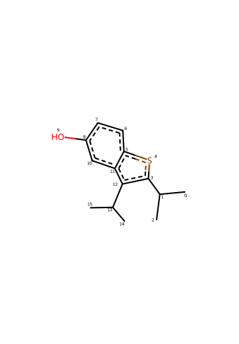 CC(C)c1sc2ccc(O)cc2c1C(C)C